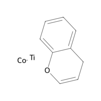 C1=COc2ccccc2C1.[Co].[Ti]